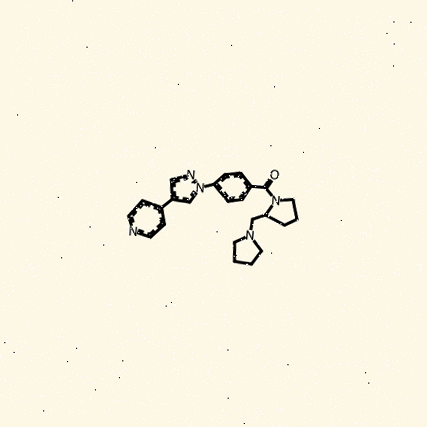 O=C(c1ccc(-n2cc(-c3ccncc3)cn2)cc1)N1CCCC1CN1CCCC1